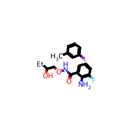 CCC(O)CONC(=O)c1cccc(F)c1N.Cc1cccc(I)c1